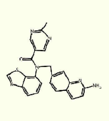 Cc1ncc(C(=O)N(Cc2ccc3ccc(N)nc3c2)c2cccc3ncsc23)cn1